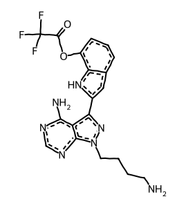 NCCCCn1nc(-c2cc3cccc(OC(=O)C(F)(F)F)c3[nH]2)c2c(N)ncnc21